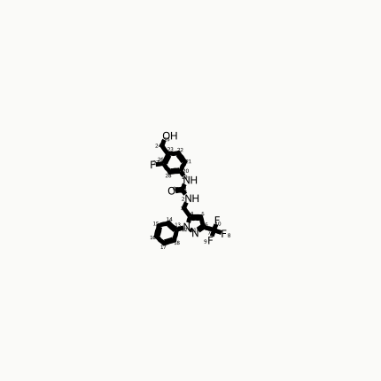 O=C(NCc1cc(C(F)(F)F)nn1-c1ccccc1)Nc1ccc(CO)c(F)c1